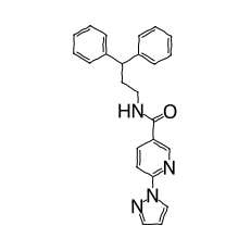 O=C(NCCC(c1ccccc1)c1ccccc1)c1ccc(-n2cccn2)nc1